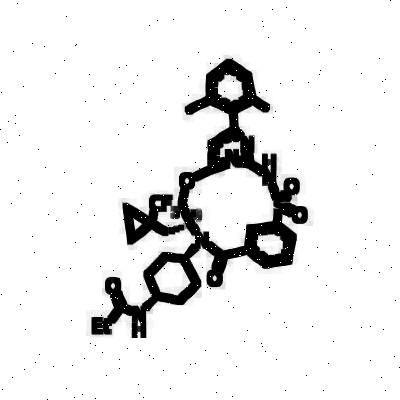 CCC(=O)N[C@H]1CC[C@@H](N2C(=O)c3cccc(c3)S(=O)(=O)Nc3nc(cc(-c4c(C)cccc4C)n3)OC[C@H]2CC2(C(F)(F)F)CC2)CC1